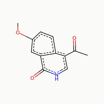 COc1ccc2c(C(C)=O)c[nH]c(=O)c2c1